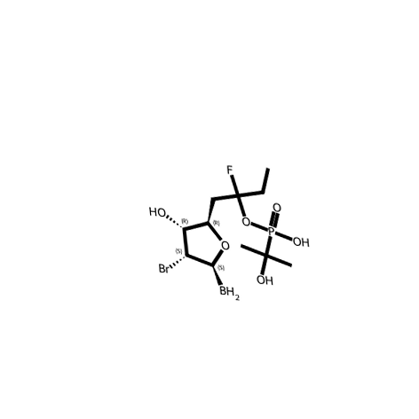 B[C@@H]1O[C@H](CC(F)(CC)OP(=O)(O)C(C)(C)O)[C@@H](O)[C@H]1Br